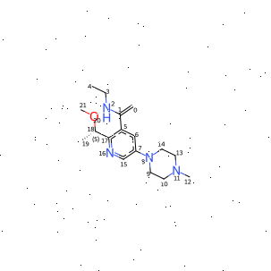 C=C(NCC)c1cc(N2CCN(C)CC2)cnc1[C@H](C)OC